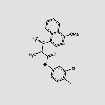 COc1ncc([C@H](C)N(C)C(=O)Nc2ccc(F)c(Cl)c2)c2ccccc12